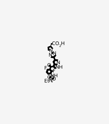 CCN(C)S(=O)(=O)Nc1ccc(F)c(C(=O)c2c[nH]c3ncc(-c4cnc(N5CC[C@@H](CC(=O)O)C5)nc4)cc23)c1F